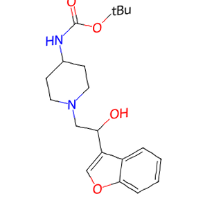 CC(C)(C)OC(=O)NC1CCN(CC(O)c2coc3ccccc23)CC1